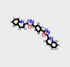 c1ccc2nc(-c3nnc(-c4ccc(-c5nnc(-c6ccc7ccccc7n6)o5)cc4)o3)ccc2c1